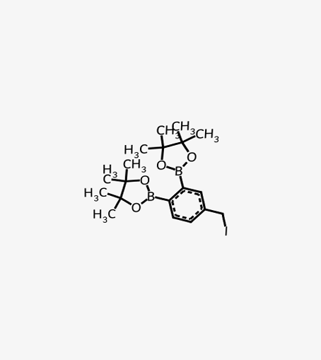 CC1(C)OB(c2ccc(CI)cc2B2OC(C)(C)C(C)(C)O2)OC1(C)C